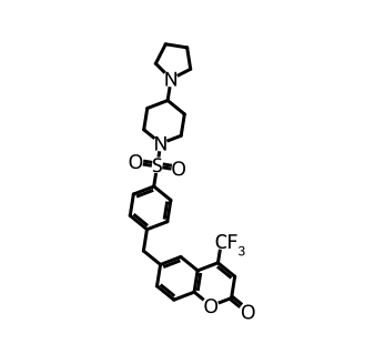 O=c1cc(C(F)(F)F)c2cc(Cc3ccc(S(=O)(=O)N4CCC(N5CCCC5)CC4)cc3)ccc2o1